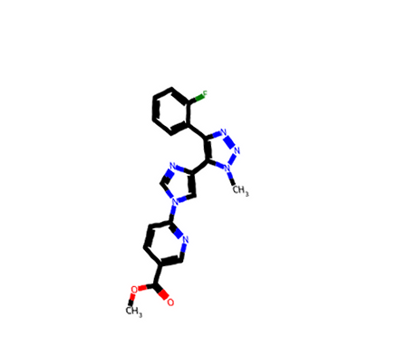 COC(=O)c1ccc(-n2cnc(-c3c(-c4ccccc4F)nnn3C)c2)nc1